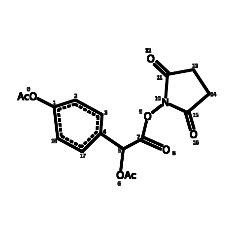 CC(=O)Oc1ccc(C(OC(C)=O)C(=O)ON2C(=O)CCC2=O)cc1